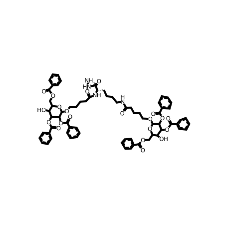 NNC(=O)[C@H](CCCCNC(=O)CCCCOC1OC(COC(=O)c2ccccc2)C(O)C(OC(=O)c2ccccc2)C1OC(=O)c1ccccc1)NC(=O)CCCCOC1OC(COC(=O)c2ccccc2)C(O)C(OC(=O)c2ccccc2)C1OC(=O)c1ccccc1